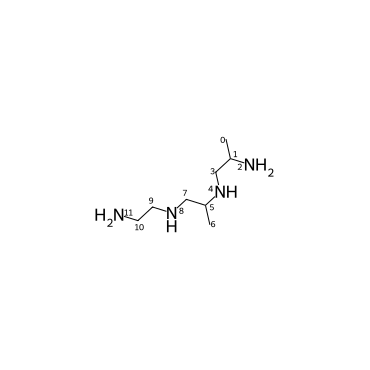 CC(N)CNC(C)CNCCN